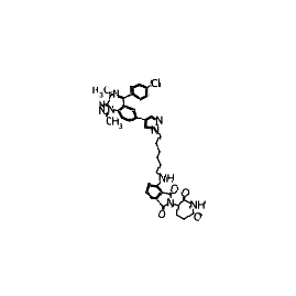 Cc1nnc2n1-c1ccc(-c3cnn(CCCCCCNc4cccc5c4C(=O)N(C4CCC(=O)NC4=O)C5=O)c3)cc1C(c1ccc(Cl)cc1)=N[C@H]2C